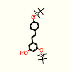 CC(C)(C)[Si](C)(C)Oc1ccc(/C=C/c2cc(O)cc(O[Si](C)(C)C(C)(C)C)c2)cc1